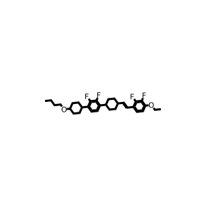 CCCCOC1CCC(c2ccc(C3CCC(/C=C/c4ccc(OCC)c(F)c4F)CC3)c(F)c2F)CC1